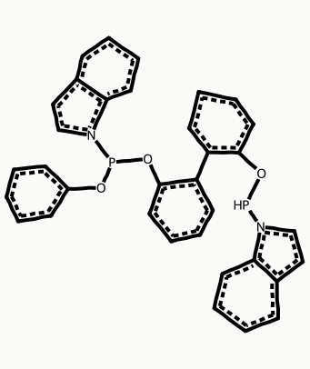 c1ccc(OP(Oc2ccccc2-c2ccccc2OPn2ccc3ccccc32)n2ccc3ccccc32)cc1